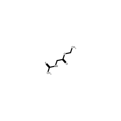 CCOC(=O)CNC(C)=S